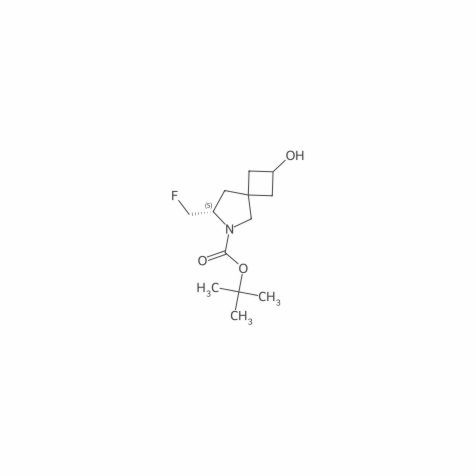 CC(C)(C)OC(=O)N1CC2(CC(O)C2)C[C@H]1CF